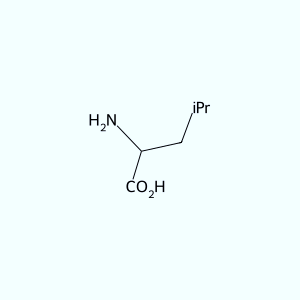 [CH2]C(C)CC(N)C(=O)O